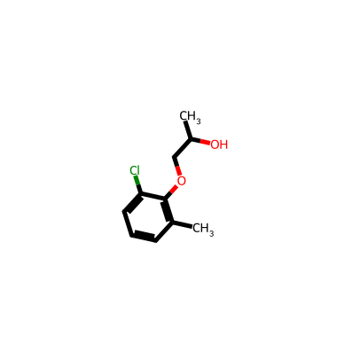 Cc1cccc(Cl)c1OCC(C)O